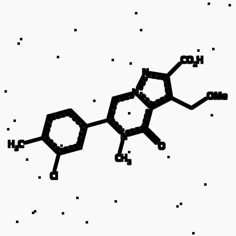 COCc1c(C(=O)O)nn2cc(-c3ccc(C)c(Cl)c3)n(C)c(=O)c12